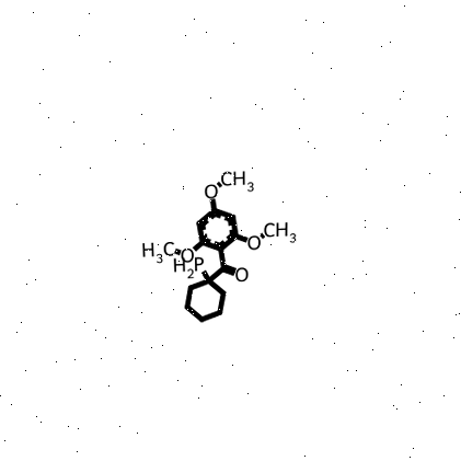 COc1cc(OC)c(C(=O)C2(P)CCCCC2)c(OC)c1